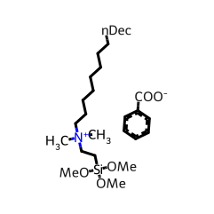 CCCCCCCCCCCCCCCCCC[N+](C)(C)CC[Si](OC)(OC)OC.O=C([O-])c1ccccc1